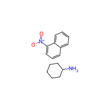 NC1CCCCC1.O=[N+]([O-])c1cccc2ccccc12